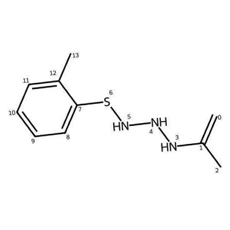 C=C(C)NNNSc1ccccc1C